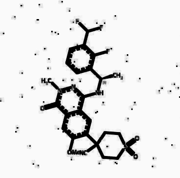 COc1cc2c(=O)n(C)nc(N[C@H](C)c3cccc(C(F)F)c3F)c2cc1C1(C#N)CCS(=O)(=O)CC1